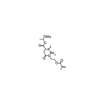 BP(I)C(CC(=O)OCCOC(=O)C(=C)C)C(=O)OC(C)OC